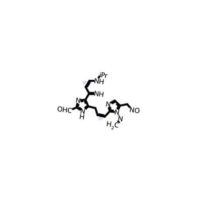 C=Nn1c(CN=O)cnc1/C=C\Cc1[nH]c(C=O)nc1C(=N)/C=C\NC(C)C